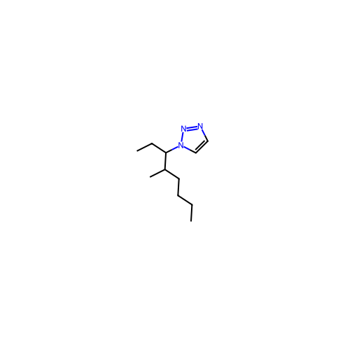 CCCCC(C)C(CC)n1ccnn1